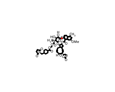 COc1cc(C)c2ccc(O)c(C(=O)O[C@@H]3C=C4C#C[C@]5(C6COC(=O)O6)O[C@@H]5C#CCC4[C@H]3O[C@H]3O[C@H](C)[C@H](O)[C@H](O)C3N(C)C(=O)OCOC(=O)C3CCC(CN4C(=O)C=CC4=O)CC3)c2c1